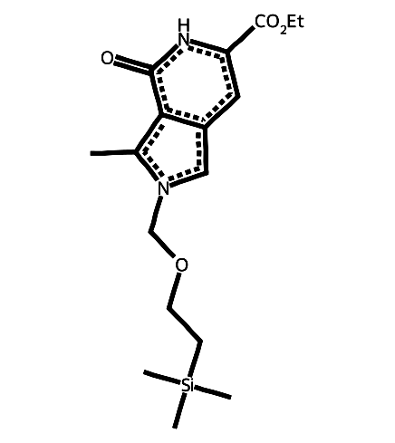 CCOC(=O)c1cc2cn(COCC[Si](C)(C)C)c(C)c2c(=O)[nH]1